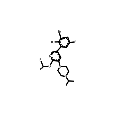 CC(C)N1CCN(c2cc(-c3cc(F)cc(Br)c3O)cnc2OC(F)F)CC1